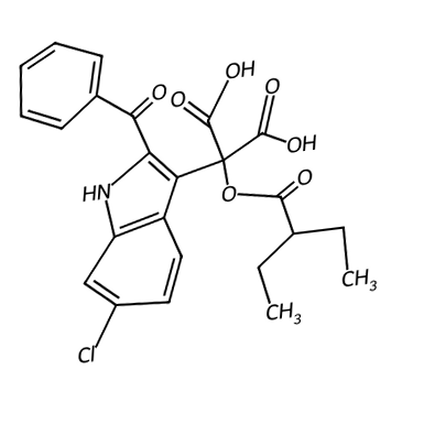 CCC(CC)C(=O)OC(C(=O)O)(C(=O)O)c1c(C(=O)c2ccccc2)[nH]c2cc(Cl)ccc12